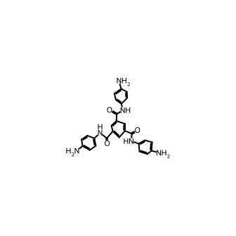 Nc1ccc(NC(=O)c2cc(C(=O)Nc3ccc(N)cc3)cc(C(=O)Nc3ccc(N)cc3)c2)cc1